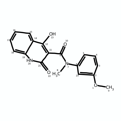 COc1cccc(N(C)C(=O)c2c(O)c3ccccc3[nH]c2=O)c1